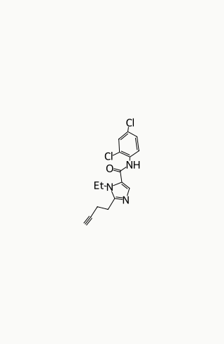 C#CCCc1ncc(C(=O)Nc2ccc(Cl)cc2Cl)n1CC